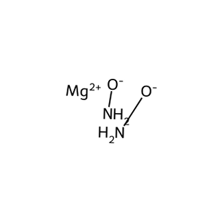 N[O-].N[O-].[Mg+2]